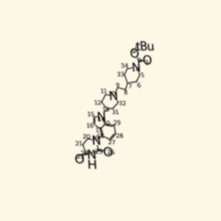 CC(C)(C)OC(=O)N1CCC(CCN2CCC(n3ccc4c(N5CCC(=O)NC5=O)cccc43)CC2)CC1